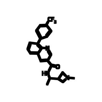 CC(NC(=O)c1cnc2c(-c3ccc(C(F)(F)F)cc3)cccc2c1)C1CN(C)C1